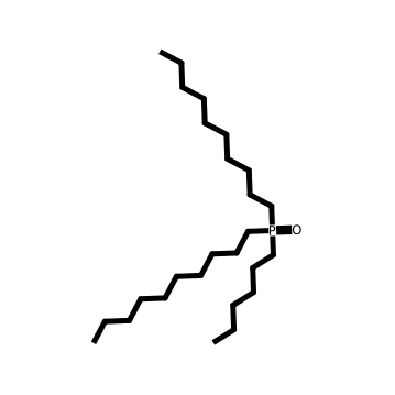 CCCCCCCCCCP(=O)(CCCCCC)CCCCCCCCCC